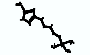 C[Si](C)(C)CCOCOc1cc(C=O)on1